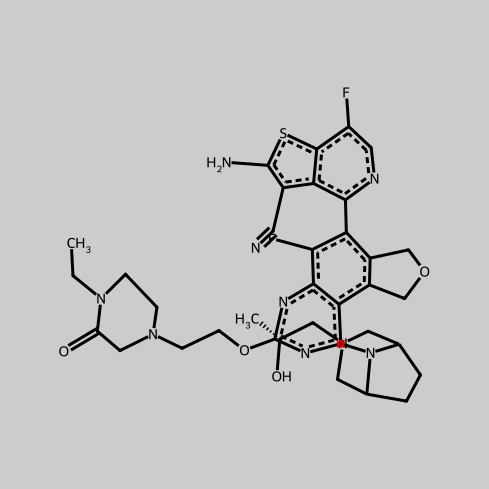 CCN1CCN(CCOc2nc(N3C4CCC3CN(C[C@@H](C)O)C4)c3c4c(c(-c5ncc(F)c6sc(N)c(C#N)c56)c(F)c3n2)COC4)CC1=O